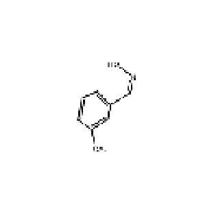 CC(=O)Oc1cccc(/C=N\O)c1